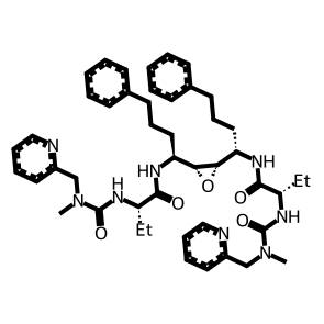 CC[C@H](NC(=O)N(C)Cc1ccccn1)C(=O)N[C@@H](CCCc1ccccc1)[C@@H]1O[C@@H]1[C@H](CCCc1ccccc1)NC(=O)[C@H](CC)NC(=O)N(C)Cc1ccccn1